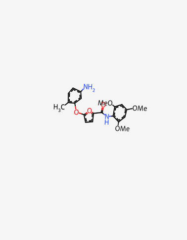 COc1cc(OC)c(NC(=O)c2ccc(Oc3cc(N)ccc3C)o2)c(OC)c1